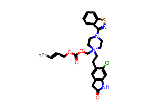 CCC/C=C/COC(=O)OC[N+]1(CCc2cc3c(cc2Cl)NC(=O)C3)CCN(c2nsc3ccccc23)CC1